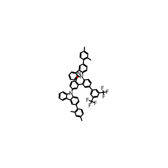 Cc1ccc(-c2ccc3c(c2)c2ccccc2n3-c2ccc(C#N)c(-c3cc(-c4cc(C(F)(F)F)cc(C(F)(F)F)c4)ccc3-n3c4ccccc4c4cc(-c5ccc(C)cc5C)ccc43)c2)c(C)c1